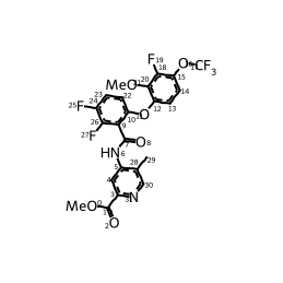 COC(=O)c1cc(NC(=O)c2c(Oc3ccc(OC(F)(F)F)c(F)c3OC)ccc(F)c2F)c(C)cn1